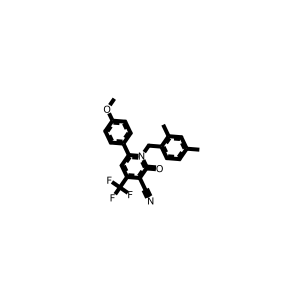 COc1ccc(-c2cc(C(F)(F)F)c(C#N)c(=O)n2Cc2ccc(C)cc2C)cc1